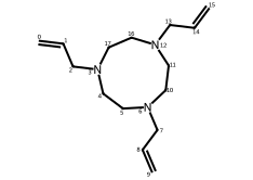 C=CCN1CCN(CC=C)CCN(CC=C)CC1